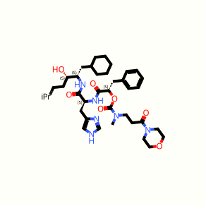 CC(C)CC[C@H](O)[C@H](CC1CCCCC1)NC(=O)[C@H](Cc1c[nH]cn1)NC(=O)[C@H](Cc1ccccc1)OC(=O)N(C)CCC(=O)N1CCOCC1